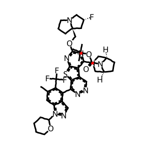 Cc1cc2c(cnn2C2CCCCO2)c(-c2nncc3c2sc2nc(OC[C@@]45CCCN4C[C@H](F)C5)nc(N4C[C@H]5CC[C@@H](C4)N5C(=O)OC(C)(C)C)c23)c1C(F)(F)F